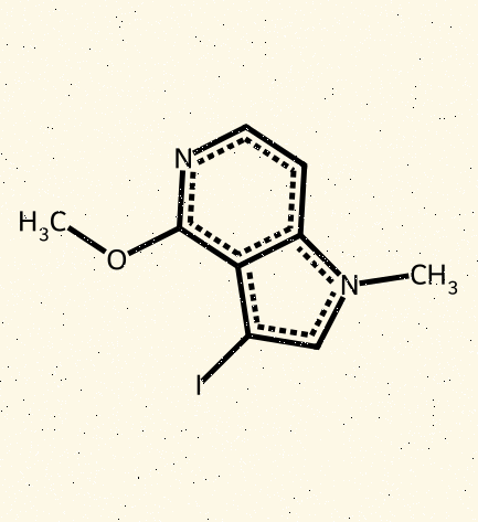 COc1nccc2c1c(I)cn2C